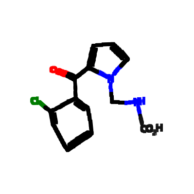 O=C(O)NCn1cccc1C(=O)c1ccccc1Cl